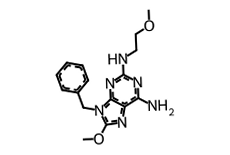 COCCNc1nc(N)c2nc(OC)n(Cc3ccccc3)c2n1